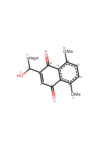 CCCCCCCC(O)C1=CC(=O)c2c(OC)ccc(OC)c2C1=O